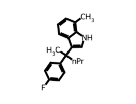 CCCC(C)(c1ccc(F)cc1)c1c[nH]c2c(C)cccc12